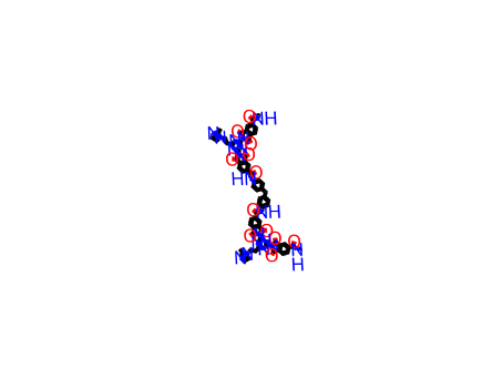 CNC(=O)c1ccc2c(c1)C(=O)N(c1nc(CCn3ccnc3C)nc(N3C(=O)c4ccc(C(=O)Nc5ccc(Cc6ccc(NC(=O)c7ccc8c(c7)C(=O)N(c7nc(CCn9ccnc9C)nc(N9C(=O)c%10ccc(C(=O)NC)cc%10C9=O)n7)C8=O)cc6)cc5)cc4C3=O)n1)C2=O